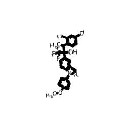 COc1ccc(-n2ncc3cc(C(O)(C(C)c4ccc(Cl)cc4Cl)C(F)(F)F)ccc32)cc1